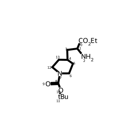 CCOC(=O)C(N)CC1CCN(C(=O)OC(C)(C)C)CC1